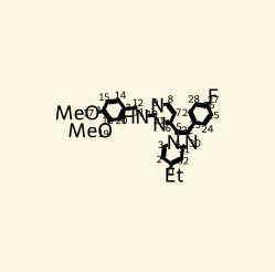 CCc1ccn2c(-c3ccnc(NCc4ccc(OC)c(OC)c4)n3)c(-c3ccc(F)cc3)nc2c1